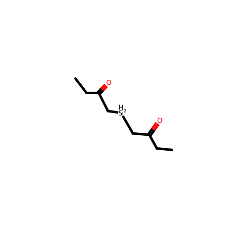 CCC(=O)C[SiH2]CC(=O)CC